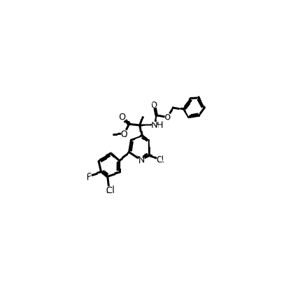 COC(=O)C(C)(NC(=O)OCc1ccccc1)c1cc(Cl)nc(-c2ccc(F)c(Cl)c2)c1